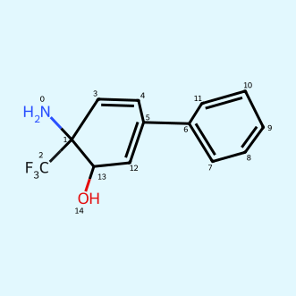 NC1(C(F)(F)F)C=CC(c2ccccc2)=CC1O